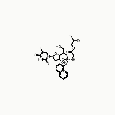 CCC(CC)COC(=O)[C@H](C)N[P@@](=O)(Oc1cccc2ccccc12)O[C@H](CO)[C@H]1O[C@@H](n2cc(F)c(=O)[nH]c2=O)C[C@@H]1O